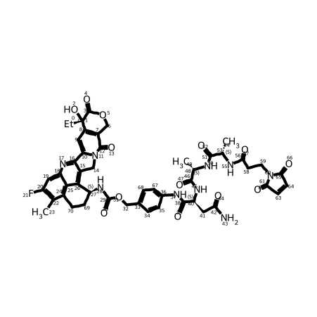 CC[C@@]1(O)C(=O)OCc2c1cc1n(c2=O)Cc2c-1nc1cc(F)c(C)c3c1c2[C@@H](NC(=O)OCc1ccc(NC(=O)[C@H](CC(N)=O)NC(=O)[C@H](C)NC(=O)[C@H](C)NC(=O)CCN2C(=O)C=CC2=O)cc1)CC3